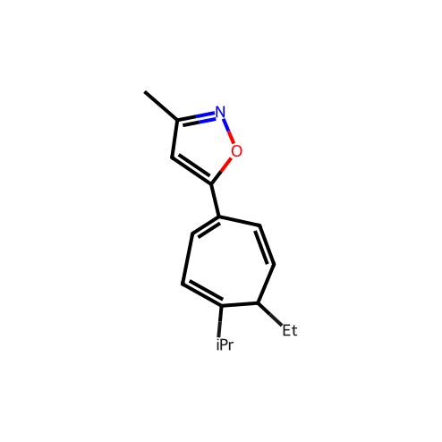 CCC1C=CC(c2cc(C)no2)=CC=C1C(C)C